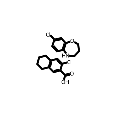 Clc1ccc2c(c1)OCCCN2.O=C(O)c1cc2c(cc1Cl)CCCC2